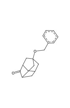 O=C1C2CC3CC1CC(OCc1ccccc1)(C3)C2